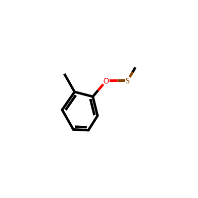 CSOc1ccccc1C